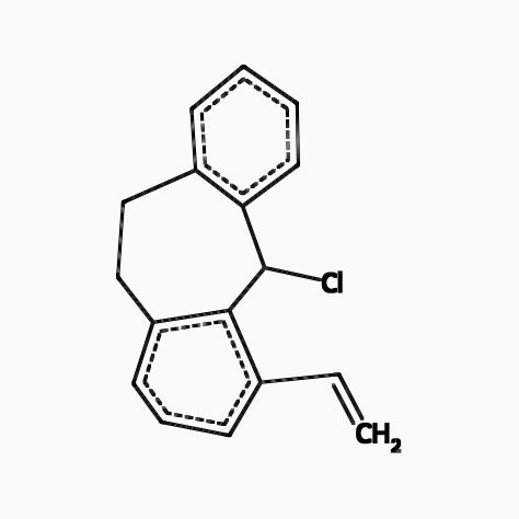 C=Cc1cccc2c1C(Cl)c1ccccc1CC2